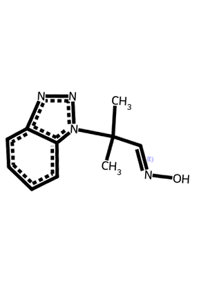 CC(C)(/C=N/O)n1nnc2ccccc21